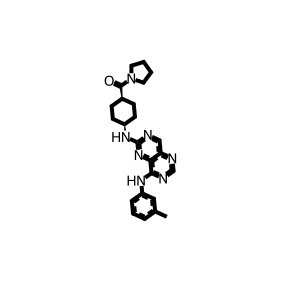 Cc1cccc(Nc2ncnc3cnc(N[C@H]4CC[C@H](C(=O)N5CCCC5)CC4)nc23)c1